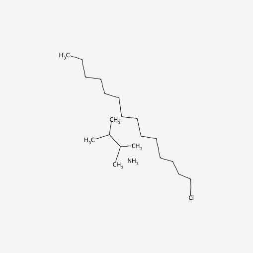 CC(C)C(C)C.CCCCCCCCCCCCCCCl.N